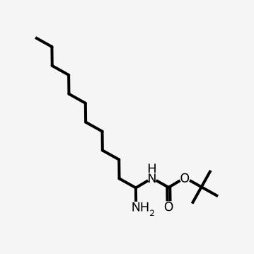 CCCCCCCCCCCC(N)NC(=O)OC(C)(C)C